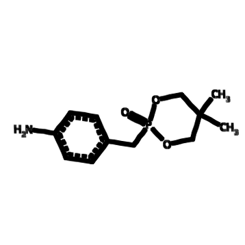 CC1(C)COP(=O)(Cc2ccc(N)cc2)OC1